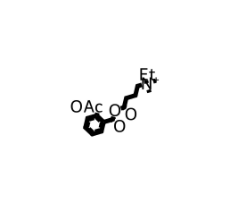 CC[N+](C)(C)CCCC(=O)OC(=O)c1ccccc1OC(C)=O